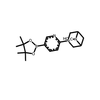 CC1(C)OB(c2ccc(N3CC4CC(C3)N4C(=O)O)nc2)OC1(C)C